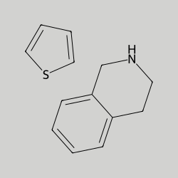 c1ccc2c(c1)CCNC2.c1ccsc1